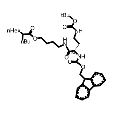 CCCCCCC(CCCC)C(=O)OCCCCNC(=O)[C@H](CCNC(=O)OC(C)(C)C)NC(=O)OCC1c2ccccc2-c2ccccc21